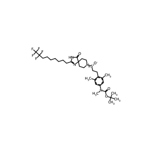 Cc1cc(N(C)C(=O)OC(C)(C)C)cc(C)c1CC[S@+]([O-])N1CCC2(CC1)N=C(CCCCCCCC(F)(F)C(F)(F)F)NC2=O